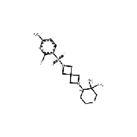 Cc1nc(C(F)(F)F)ccc1S(=O)(=O)N1CC2(CN([C@@H]3CCOCC3(C)C)C2)C1